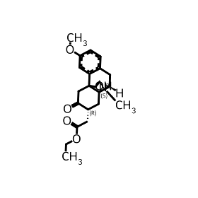 CCOC(=O)C[C@H]1C[C@@]2(O)[C@H]3Cc4ccc(OC)cc4C2(CCN3C)CC1=O